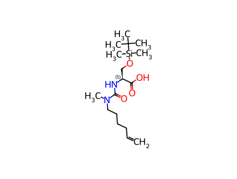 C=CCCCCN(C)C(=O)N[C@@H](CO[Si](C)(C)C(C)(C)C)C(=O)O